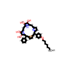 CCCCCCCCCCCCCCCCOc1ccc(-c2c3nc(cc4[nH]c(cc5nc(c(-c6ccccc6)c6ccc2s6)C(O)C5O)C(O)C4O)C=C3)cc1